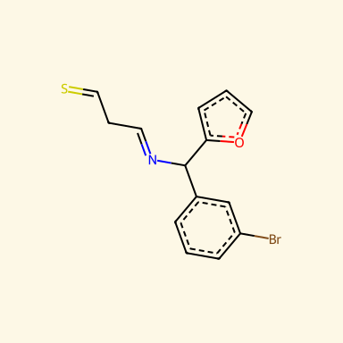 S=CCC=NC(c1cccc(Br)c1)c1ccco1